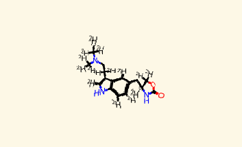 [2H]c1[nH]c2c([2H])c([2H])c(C[C@]3([2H])NC(=O)OC3([2H])[2H])c([2H])c2c1C([2H])([2H])CN(C([2H])([2H])[2H])C([2H])([2H])[2H]